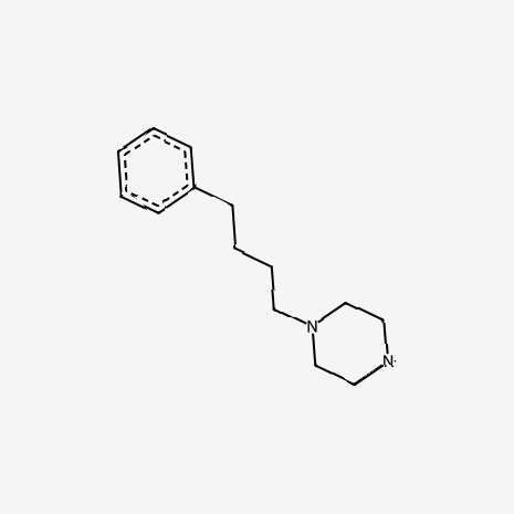 c1ccc(CCCCN2CC[N]CC2)cc1